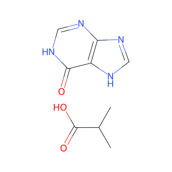 CC(C)C(=O)O.O=c1[nH]cnc2nc[nH]c12